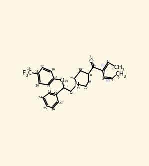 C/C=C\C(=C/C)C(=O)C1CCN(CC(Oc2ccc(C(F)(F)F)cc2)c2ccccc2)CC1